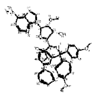 COc1ccc(C(OC(C(=O)COc2ccccc2)[C@H]2O[C@@H](n3cnc4c(N)ncnc43)[C@H](OC)[C@@H]2O)(c2ccccc2)c2ccc(OC)cc2)cc1